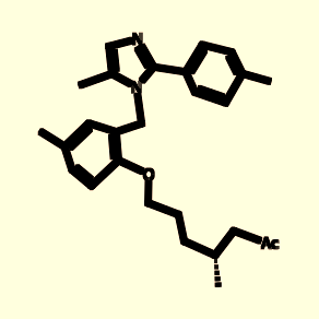 CC(=O)C[C@H](C)CCCOc1ccc(C)cc1Cn1c(C)cnc1-c1ccc(C)cc1